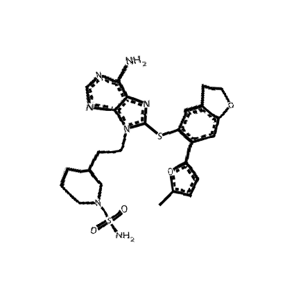 Cc1ccc(-c2cc3c(cc2Sc2nc4c(N)ncnc4n2CCC2CCCN(S(N)(=O)=O)C2)CCO3)o1